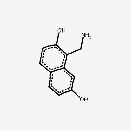 NCc1c(O)ccc2ccc(O)cc12